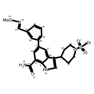 CCS(=O)(=O)N1CCC(c2c[nH]c3c(C(N)=O)cc(-c4cccc(/C=N/OC)c4)cc23)CC1